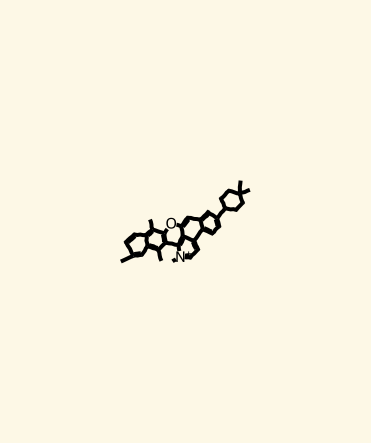 Cc1ccc2c(C)c3c(c(C)c2c1)-c1c2c(cc4cc(C5CCC(C)(C)CC5)ccc4c2cc[n+]1C)O3